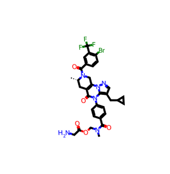 C[C@H]1Cc2c(n3ncc(CC4CC4)c3n(-c3ccc(C(=O)N(C)COC(=O)CN)cc3)c2=O)CN1C(=O)c1ccc(Br)c(C(F)(F)F)c1